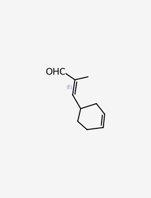 C/C(C=O)=C\C1CC=CCC1